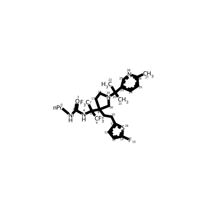 CCCNC(=O)NC(C(F)(F)F)(C(F)(F)F)C1(CCc2ccc(F)s2)CCN(C(C)(C)c2ccc(C)nc2)C1